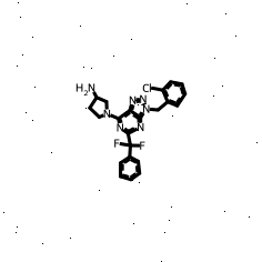 NC1CCN(c2nc(C(F)(F)c3ccccc3)nc3c2nnn3Cc2ccccc2Cl)C1